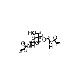 C=CC(=O)NCOCC(CO)(CO)COCNC(=O)C=C